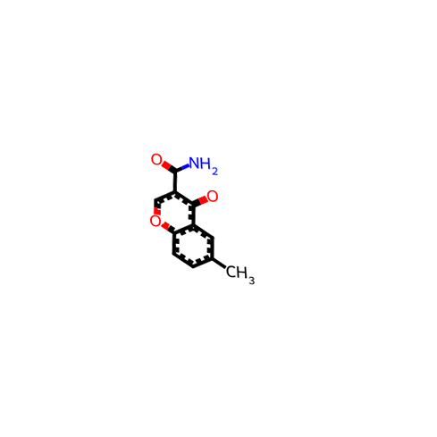 Cc1ccc2occ(C(N)=O)c(=O)c2c1